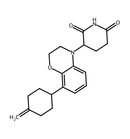 C=C1CCC(c2cccc3c2OCCN3C2CCC(=O)NC2=O)CC1